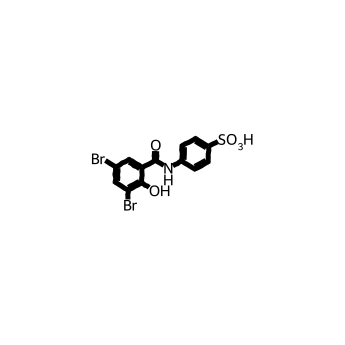 O=C(Nc1ccc(S(=O)(=O)O)cc1)c1cc(Br)cc(Br)c1O